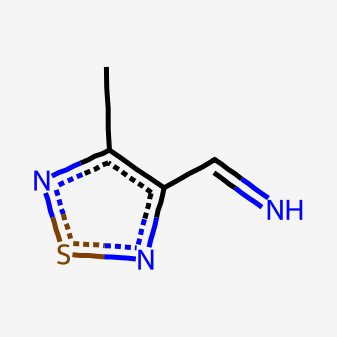 Cc1nsnc1C=N